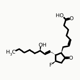 CCCCC[C@@H](O)/C=C/[C@H]1[C@H](F)CC(=O)[C@@H]1C/C=C\CCCC(=O)O